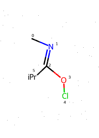 C/N=C(/OCl)C(C)C